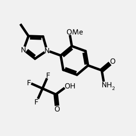 COc1cc(C(N)=O)ccc1-n1cnc(C)c1.O=C(O)C(F)(F)F